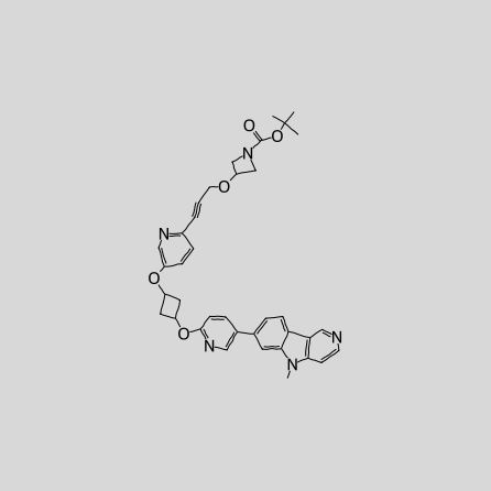 Cn1c2ccncc2c2ccc(-c3ccc(OC4CC(Oc5ccc(C#CCOC6CN(C(=O)OC(C)(C)C)C6)nc5)C4)nc3)cc21